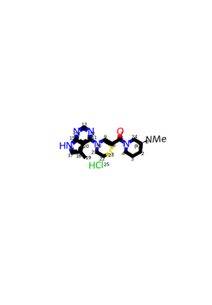 CN[C@@H]1CCCN(C(=O)C2=CN(c3ncnc4[nH]cc(C)c34)CCS2)C1.Cl